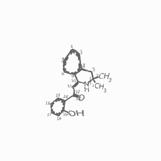 CC1(C)Cc2ccccc2C(=CC(=O)c2ccccc2O)N1